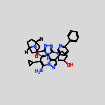 Nc1c(C2CC2)c([C@H]2C[C@H]3CC[C@@H](C2)N3C(=O)c2nnc(N3CC[C@@H](O)C3)[nH]2)nc2c(-c3ccc(-c4ccccc4)nc3)cnn12